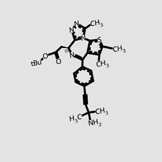 Cc1sc2c(c1C)C(c1ccc(C#CC(C)(C)N)cc1)=N[C@@H](CC(=O)OC(C)(C)C)c1nnc(C)n1-2